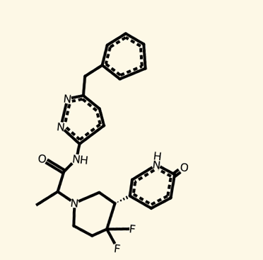 CC(C(=O)Nc1ccc(Cc2ccccc2)nn1)N1CCC(F)(F)[C@@H](c2ccc(=O)[nH]c2)C1